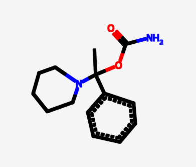 CC(OC(N)=O)(c1ccccc1)N1CCCCC1